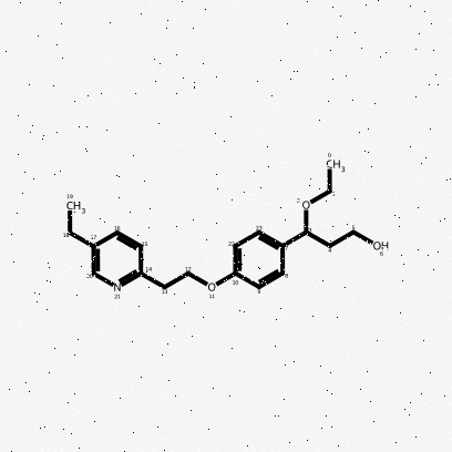 CCOC(CCO)c1ccc(OCCc2ccc(CC)cn2)cc1